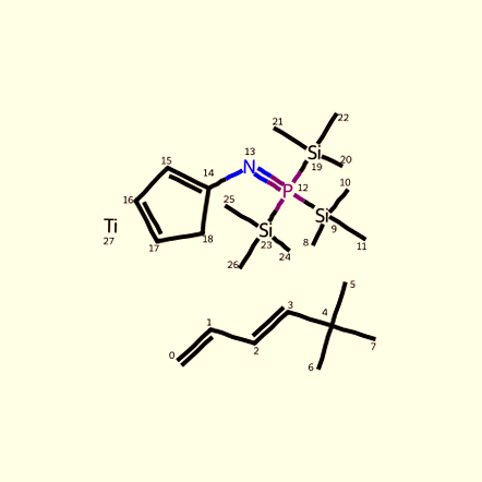 C=CC=CC(C)(C)C.C[Si](C)(C)P(=NC1=CC=CC1)([Si](C)(C)C)[Si](C)(C)C.[Ti]